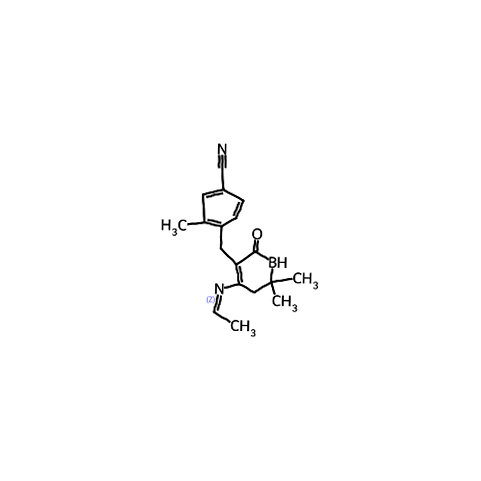 C/C=N\C1=C(Cc2ccc(C#N)cc2C)C(=O)BC(C)(C)C1